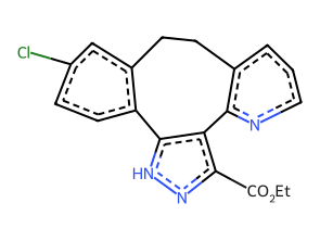 CCOC(=O)c1n[nH]c2c1-c1ncccc1CCc1cc(Cl)ccc1-2